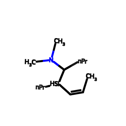 C/C=C\[SiH](CCC)C(CCC)N(C)C